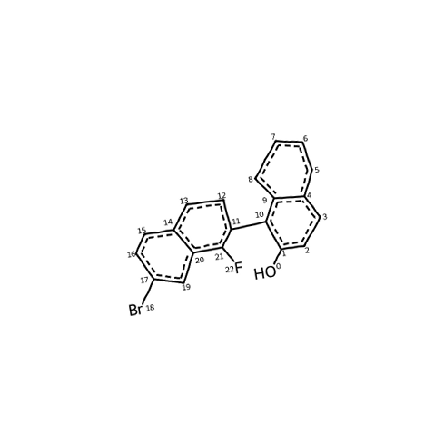 Oc1ccc2ccccc2c1-c1ccc2ccc(Br)cc2c1F